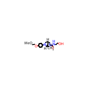 COCCOc1ccc(N2C[C@H]3CN(C(=O)NCCO)C[C@@H]2C(C)(C)C3)cc1